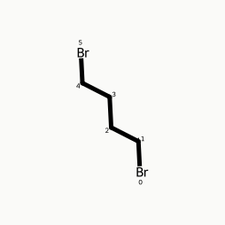 Br[CH]CCCBr